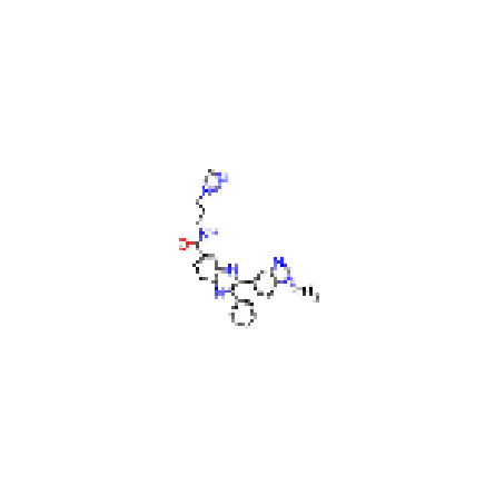 Cn1cnc2cc(-c3nc4cc(C(=O)NCCCn5ccnc5)ccc4nc3-c3ccccc3)ccc21